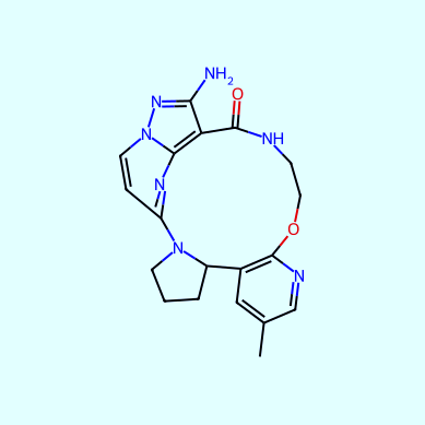 Cc1cnc2c(c1)C1CCCN1c1ccn3nc(N)c(c3n1)C(=O)NCCO2